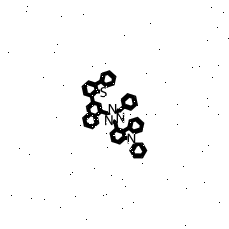 c1ccc(-c2nc(-c3cc(-c4cccc5c4sc4ccccc45)cc4ccccc34)nc(-c3cccc4c3c3ccccc3n4-c3ccccc3)n2)cc1